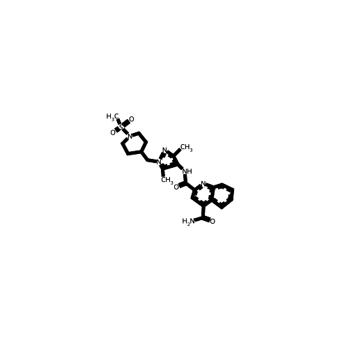 Cc1nn(CC2CCN(S(C)(=O)=O)CC2)c(C)c1NC(=O)c1cc(C(N)=O)c2ccccc2n1